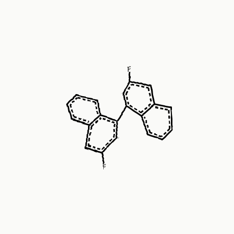 Fc1[c]c(-c2[c]c(F)cc3ccccc23)c2ccccc2c1